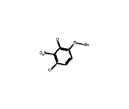 CCCCOc1ccc(Cl)c([N+](=O)[O-])c1Cl